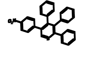 O=[N+]([O-])c1ccc(-c2cbc(-c3ccccc3)c(-c3ccccc3)c2-c2ccccc2)cc1